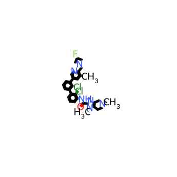 Cc1cc(-c2cccc(-c3cccc(NC(=O)c4nc5c(n4C)CCN(C)C5)c3Cl)c2Cl)cnc1CN1CC(F)C1